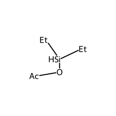 CC[SiH](CC)OC(C)=O